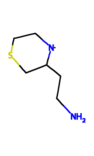 NCCC1CSCC[N]1